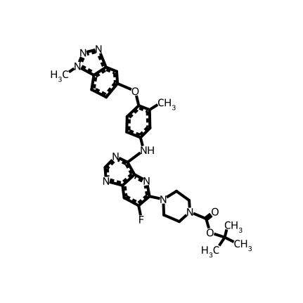 Cc1cc(Nc2ncnc3cc(F)c(N4CCN(C(=O)OC(C)(C)C)CC4)nc23)ccc1Oc1ccc2c(c1)nnn2C